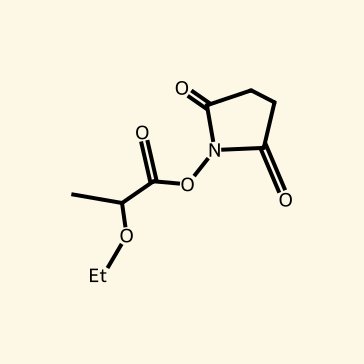 CCOC(C)C(=O)ON1C(=O)CCC1=O